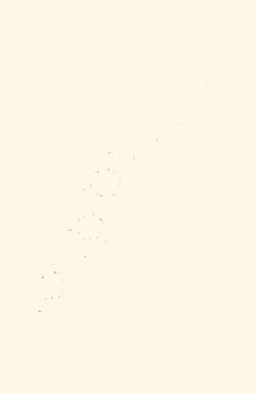 CCOOCCCCCCOc1ccc(-c2ccc(CCc3ccc(C)cc3C)cc2)cc1